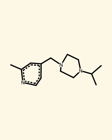 Cc1cc(CN2CCN(C(C)C)CC2)ccn1